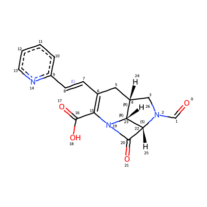 O=CN1C[C@H]2CC(/C=C/c3ccccn3)=C(C(=O)O)N3C(=O)[C@@H]1[C@@H]23